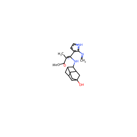 C=Nc1[nH]ccc1/C(NC1C2CC3CC1CC(O)(C3)C2)=C(\C)C(=O)OC